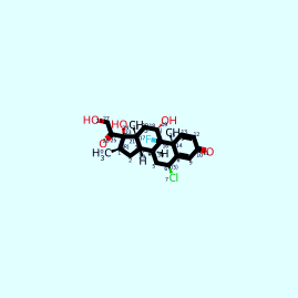 C[C@@H]1C[C@H]2[C@@H]3C[C@H](Cl)C4=CC(=O)C=C[C@]4(C)C3(F)[C@@H](O)C[C@]2(C)[C@@]1(O)C(=O)CO